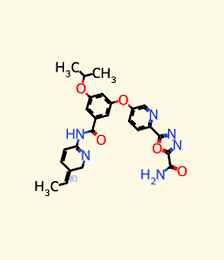 C/C=C1\C=CC(NC(=O)c2cc(Oc3ccc(-c4nnc(C(N)=O)o4)nc3)cc(OC(C)C)c2)=NC1